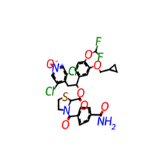 NC(=O)c1ccc(C(=O)N2CCSC2C(=O)OC(Cc2c(Cl)c[n+]([O-])cc2Cl)c2ccc(OC(F)F)c(OCC3CC3)c2)cc1